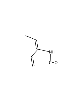 C=C/C(=C\C)NC=O